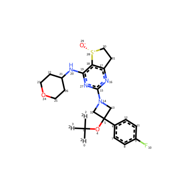 [2H]C([2H])([2H])OC1(c2ccc(F)cc2)CN(c2nc3c(c(NC4CCOCC4)n2)[S@+]([O-])CC3)C1